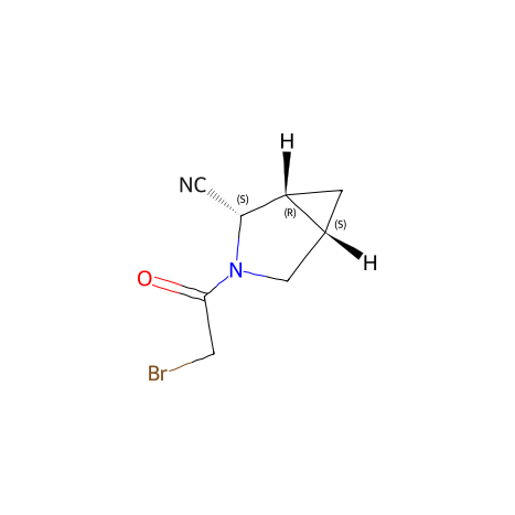 N#C[C@@H]1[C@@H]2C[C@@H]2CN1C(=O)CBr